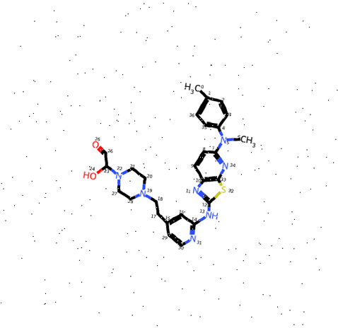 Cc1ccc(N(C)c2ccc3nc(Nc4cc(CCN5CCN(C(O)C=O)CC5)ccn4)sc3n2)cc1